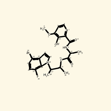 COc1ccnc(C(=O)NC(C)C(=O)OC(C)C(C)n2ccc3c(Br)ccc(F)c32)c1O